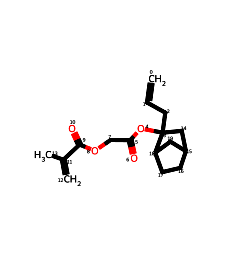 C=CCC1(OC(=O)COC(=O)C(=C)C)CC2CCC1C2